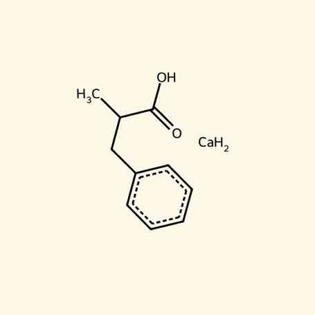 CC(Cc1ccccc1)C(=O)O.[CaH2]